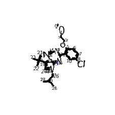 COCCOc1ccc(Cl)cc1C(=NC#N)/N=c1\sc(C(C)(C)C)cn1CC(C)C